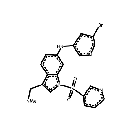 CNCc1cn(S(=O)(=O)c2cccnc2)c2cc(Nc3cncc(Br)c3)ccc12